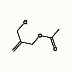 C=C(CCl)COC(C)=O